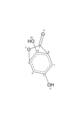 O=C1Oc2cc(O)cc1c2O